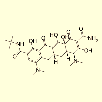 CN(C)c1cc(C(=O)NC(C)(C)C)c(O)c2c1C[C@H]1C[C@H]3[C@H](N(C)C)C(O)=C(C(N)=O)C(=O)[C@@]3(O)C(O)=C1C2=O